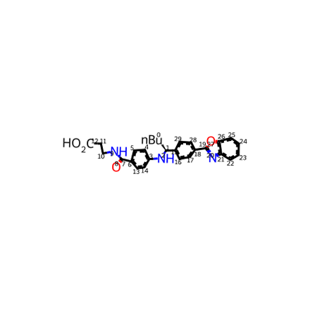 CCCC[C@H](Nc1ccc(C(=O)NCCC(=O)O)cc1)c1ccc(-c2nc3ccccc3o2)cc1